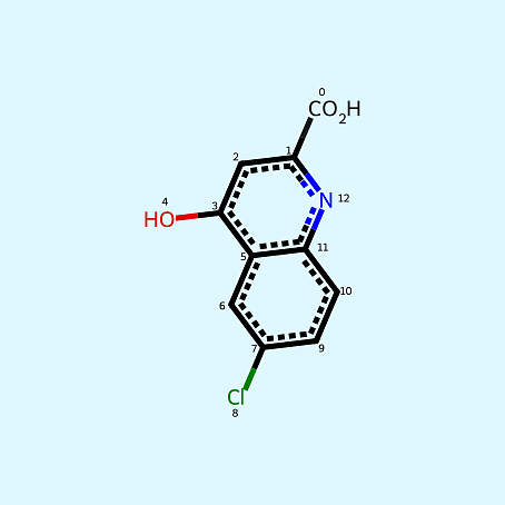 O=C(O)c1cc(O)c2cc(Cl)ccc2n1